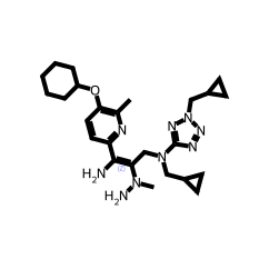 Cc1nc(/C(N)=C(\CN(CC2CC2)c2nnn(CC3CC3)n2)N(C)N)ccc1OC1CCCCC1